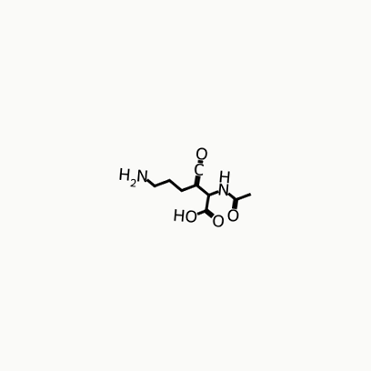 CC(=O)NC(C(=O)O)C(=C=O)CCCN